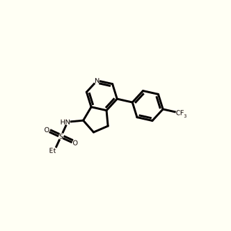 CCS(=O)(=O)NC1CCc2c(-c3ccc(C(F)(F)F)cc3)cncc21